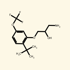 CC(C)(C)c1ccc(OC(F)(F)F)cc1OCC(O)CN